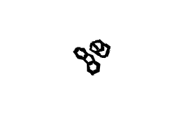 C1C2CC3CC1CC(C2)C3.c1ccc2c(c1)Cc1ccccc1-2